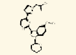 CC(C#N)Cn1ccc(-c2ccnc(-c3nn(C4CCCCO4)c4ccc(OC(C)C)cc34)n2)n1